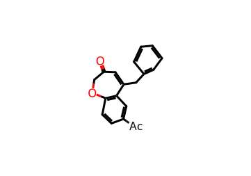 CC(=O)c1ccc2c(c1)C(Cc1ccccc1)=CC(=O)CO2